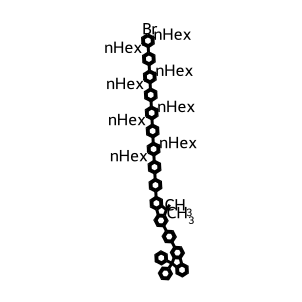 CCCCCCc1cc(-c2ccc(-c3cc(CCCCCC)c(-c4ccc(-c5cc(CCCCCC)c(-c6ccc(-c7cc(CCCCCC)c(-c8ccc(-c9ccc(-c%10ccc%11c(c%10)C(C)(C)c%10cc(-c%12ccc(-c%13ccc%14c(c%13)C(c%13ccccc%13)(c%13ccccc%13)c%13ccccc%13-%14)cc%12)ccc%10-%11)cc9)cc8)cc7CCCCCC)cc6)cc5CCCCCC)cc4)cc3CCCCCC)cc2)c(CCCCCC)cc1Br